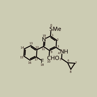 CSc1cc(NCC2CC2)c(C=O)c(-c2ccccc2F)n1